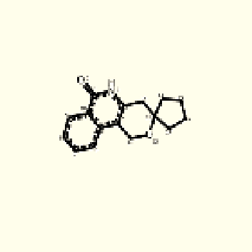 O=c1[nH]c2c(c3ccccc13)COC1(CCCC1)C2